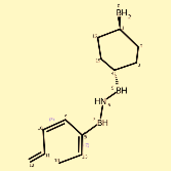 B[C@H]1CC[C@H](BNBC(/C=C\C=C)=C/C)CC1